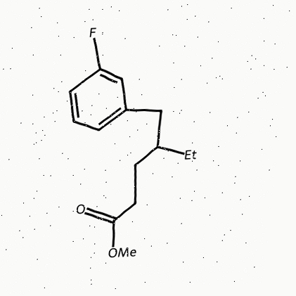 CCC(CCC(=O)OC)Cc1cccc(F)c1